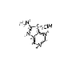 Cl.Nc1nc2cncnc2s1